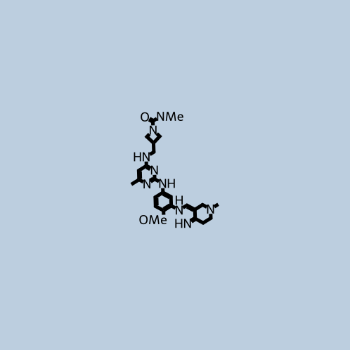 CNC(=O)N1CC(CNc2cc(C)nc(Nc3ccc(OC)c(N/C=C4/CN(C)CCC4=N)c3)n2)C1